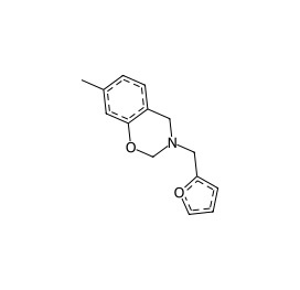 Cc1ccc2c(c1)OCN(Cc1ccco1)C2